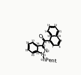 CCCCCn1nc(C(=O)c2cccc3ccccc23)c2ccccc21